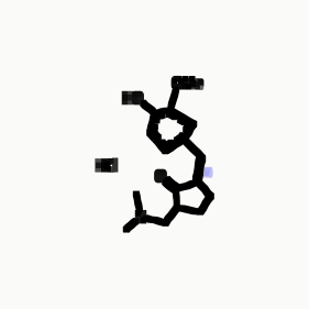 COc1cc(/C=C2/CCC(CN(C)C)C2=O)ccc1O.Cl